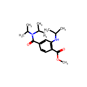 COC(=O)c1ccc(C(=O)N(C(C)C)C(C)C)cc1NC(C)C